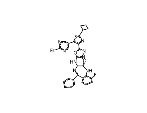 CCc1ncc(-c2sc(C3CCC3)nc2-c2nnc(NC3N=C(c4ccccc4)c4cccc(F)c4NC3=O)o2)cn1